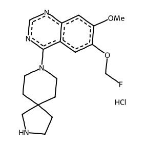 COc1cc2ncnc(N3CCC4(CCNC4)CC3)c2cc1OCF.Cl